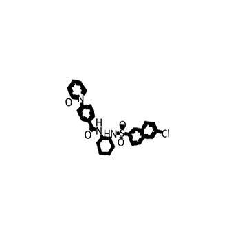 O=C(NC1CCCC[C@H]1NS(=O)(=O)c1ccc2cc(Cl)ccc2c1)c1ccc(-n2ccccc2=O)cc1